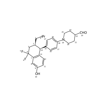 CC(C)C[C@@H]1CC(F)(F)c2cc(O)ccc2[C@@H]1c1ccc(N2CCC(C=O)CC2)cc1